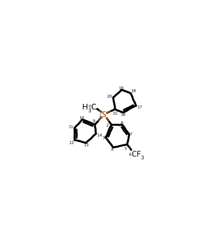 CS(C1=CCC(C(F)(F)F)C=C1)(C1=CC=CCC1)C1C=CCCC1